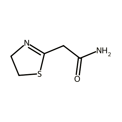 NC(=O)CC1=NCCS1